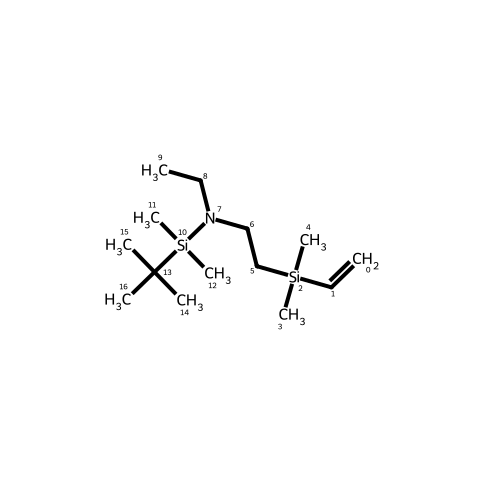 C=C[Si](C)(C)CCN(CC)[Si](C)(C)C(C)(C)C